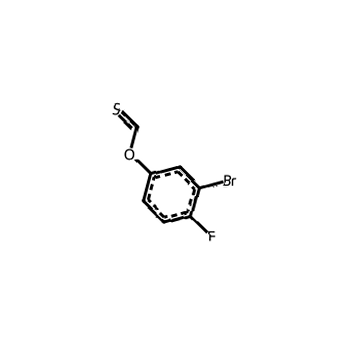 Fc1ccc(OC=S)cc1Br